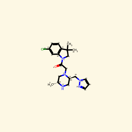 C[C@@H]1CN(CC(=O)N2CC(C)(C)c3ccc(Cl)cc32)[C@@H](Cn2cccn2)CN1